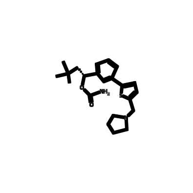 CC(C)(C)C[C@@H](OC(N)=O)c1cccc(-c2ccc(CN3CCCC3)s2)c1